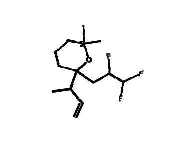 C=CC(C)C1(CC(F)C(F)F)CCC[Si](C)(C)O1